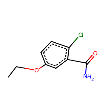 CCOc1ccc(Cl)c(C(N)=O)c1